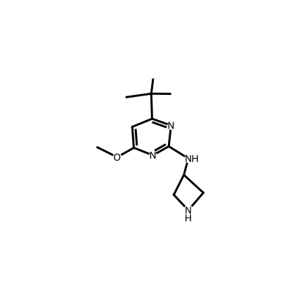 COc1cc(C(C)(C)C)nc(NC2CNC2)n1